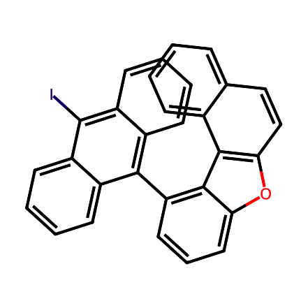 Ic1c2ccccc2c(-c2cccc3oc4ccc5ccccc5c4c23)c2ccccc12